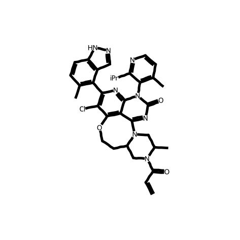 C=CC(=O)N1CC2CCOc3c(Cl)c(-c4c(C)ccc5[nH]ncc45)nc4c3c(nc(=O)n4-c3c(C)ccnc3C(C)C)N2CC1C